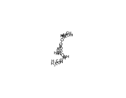 CC(C)Oc1ccc(-c2n[nH]c3ccc(NC(=O)[C@]4(S)CCN(CC(=O)N5CC=C(c6ccc(-c7ncn(CC(C)(C)O)n7)cc6)CC5)C4)cc23)cn1